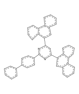 c1ccc(-c2ccc(-c3nc(-c4cc5ccccc5c5ccccc45)cc(-c4cc5ccccc5c5ccccc45)n3)cc2)cc1